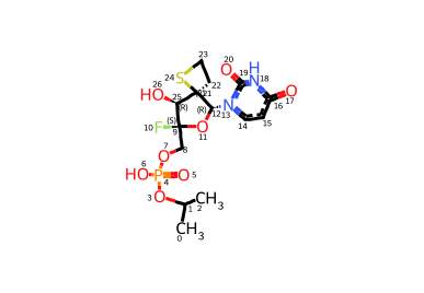 CC(C)OP(=O)(O)OC[C@@]1(F)O[C@@H](n2ccc(=O)[nH]c2=O)[C@@]2(CCS2)[C@@H]1O